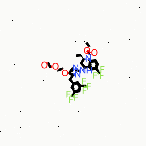 CCOC(=O)N1c2ccc(C(F)(F)F)cc2[C@@H](Nc2ncc(OCCOCC=O)c(Cc3cc(C(F)(F)F)cc(C(F)(F)F)c3)n2)C[C@H]1CC